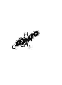 CN1C(=O)[C@H](NC(=O)c2cn(Cc3ccccc3)cn2)COc2ccc(Cl)cc21